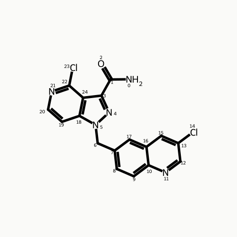 NC(=O)c1nn(Cc2ccc3ncc(Cl)cc3c2)c2ccnc(Cl)c12